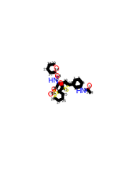 CC(=O)Nc1cccc(-c2ccc([C@@]3(CC(=O)NOC4CCCCO4)CCCCS3(=O)=O)s2)c1